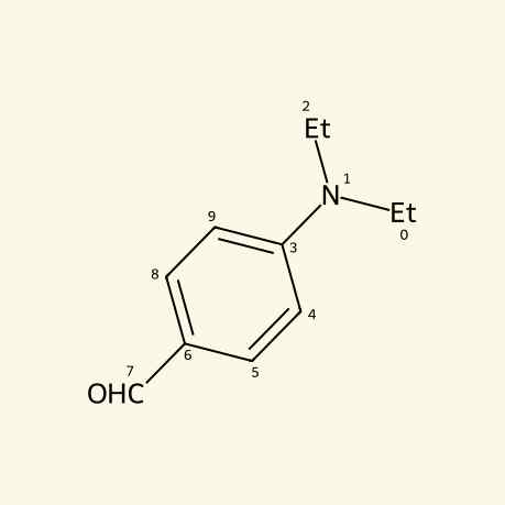 CCN(CC)c1ccc(C=O)cc1